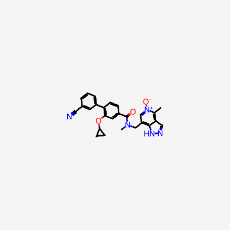 Cc1c2cn[nH]c2c(CN(C)C(=O)c2ccc(-c3cccc(C#N)c3)c(OC3CC3)c2)c[n+]1[O-]